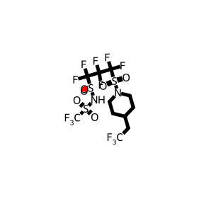 O=S(=O)(NS(=O)(=O)C(F)(F)C(F)(F)C(F)(F)S(=O)(=O)N1CCC(CC(F)(F)F)CC1)C(F)(F)F